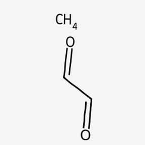 C.O=CC=O